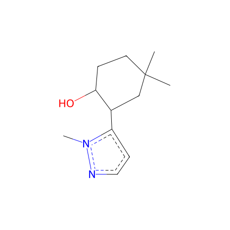 Cn1nccc1C1CC(C)(C)CCC1O